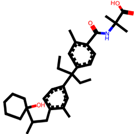 CCC(CC)(c1ccc(CC(C)C2(O)CCCCC2)c(C)c1)c1ccc(C(=O)NC(C)(C)C(=O)O)c(C)c1